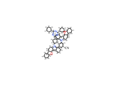 N#Cc1ccc(-c2cc(-c3nc(-c4ccccc4)nc(-c4ccccc4)n3)ccc2-n2c3ccccc3c3c4oc5ccccc5c4ccc32)c(-n2c3ccccc3c3c4oc5ccccc5c4ccc32)c1